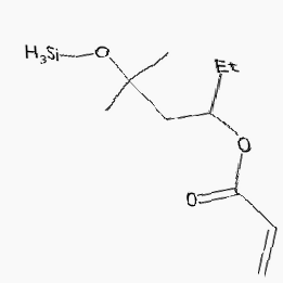 C=CC(=O)OC(CC)CC(C)(C)O[SiH3]